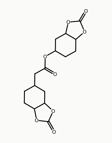 O=C(CC1CCC2OC(=O)OC2C1)OC1CCC2OC(=O)OC2C1